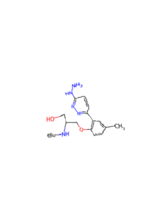 Cc1ccc(OCC(CO)NC(C)(C)C)c(-c2ccc(NN)nn2)c1